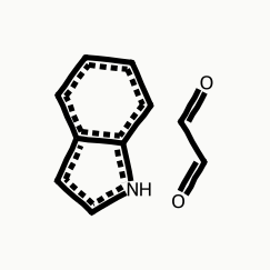 O=CC=O.c1ccc2[nH]ccc2c1